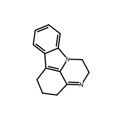 c1ccc2c(c1)c1c3n2CCN=C3CCC1